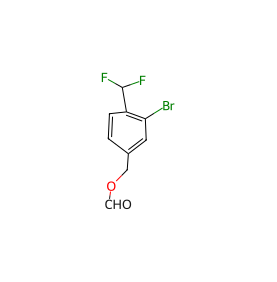 O=COCc1ccc(C(F)F)c(Br)c1